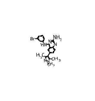 Cc1nn(C)c(C)c1-c1ccc2nc(N)nc(Nc3cccc(Br)c3)c2c1